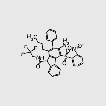 CCCCc1c(-c2ccccc2)c(N)c(S(=O)(=O)c2ccccc2[N+](=O)[O-])c2c1C(C(=O)NCC(F)(F)F)c1ccccc1-2